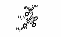 Cc1ccc(C(=O)N[C@H](C(=O)NCCCC[C@@H](CO)N(CC(C)C)S(=O)(=O)c2ccc(N)cc2)C(c2ccccc2)c2ccccc2)cn1